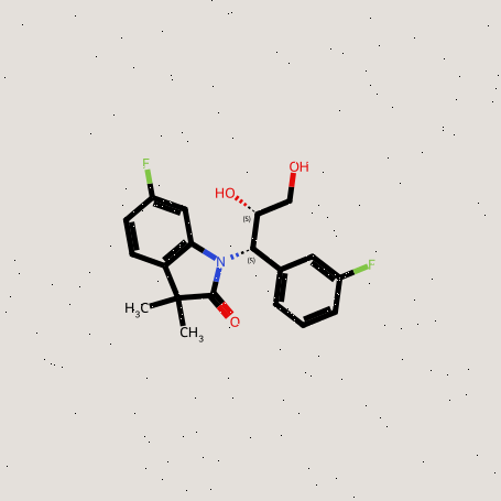 CC1(C)C(=O)N([C@@H](c2cccc(F)c2)[C@H](O)CO)c2cc(F)ccc21